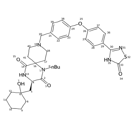 CCCCN1C(=O)[C@@H](CC2(O)CCCCC2)NC(=O)C12CCN(Cc1ccc(Oc3ccc(-c4nsc(=O)[nH]4)cc3)cc1)CC2